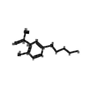 CCCCOc1ccc(Br)c(C(=O)O)c1